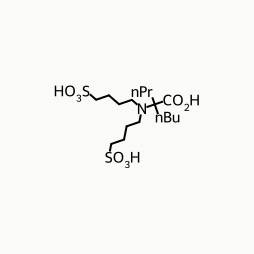 CCCCC(CCC)(C(=O)O)N(CCCCS(=O)(=O)O)CCCCS(=O)(=O)O